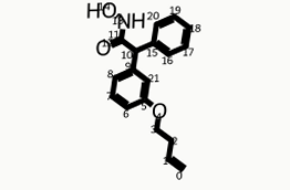 C=CCCOc1cccc(C(C(=O)NO)c2ccccc2)c1